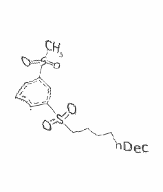 CCCCCCCCCCCCCCS(=O)(=O)c1[c]ccc(S(C)(=O)=O)c1